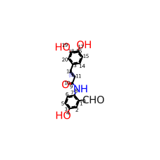 O=Cc1cc(O)ccc1NC(=O)/C=C/c1ccc(O)c(O)c1